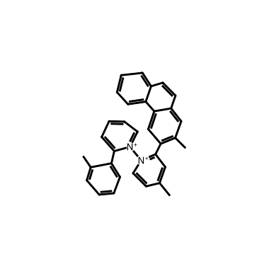 Cc1cc[n+](-[n+]2ccccc2-c2ccccc2C)c(-c2cc3c(ccc4ccccc43)cc2C)c1